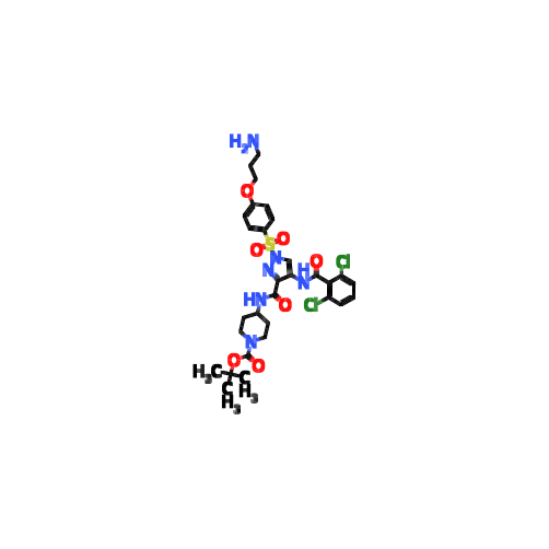 CC(C)(C)OC(=O)N1CCC(NC(=O)c2nn(S(=O)(=O)c3ccc(OCCCN)cc3)cc2NC(=O)c2c(Cl)cccc2Cl)CC1